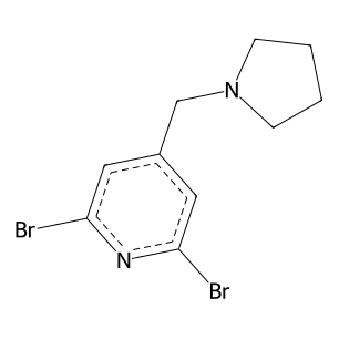 Brc1cc(CN2CCCC2)cc(Br)n1